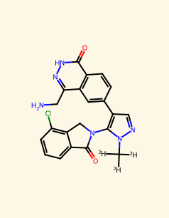 [2H]C([2H])([2H])n1ncc(-c2ccc3c(=O)[nH]nc(CN)c3c2)c1N1Cc2c(Cl)cccc2C1=O